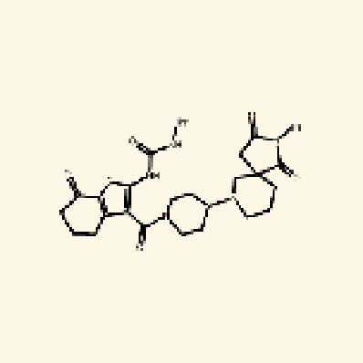 CC(C)NC(=O)Nc1sc2c(c1C(=O)N1CCC(N3CCCC4(CC(=O)N(C(C)C)C4=O)C3)CC1)CCCC2=O